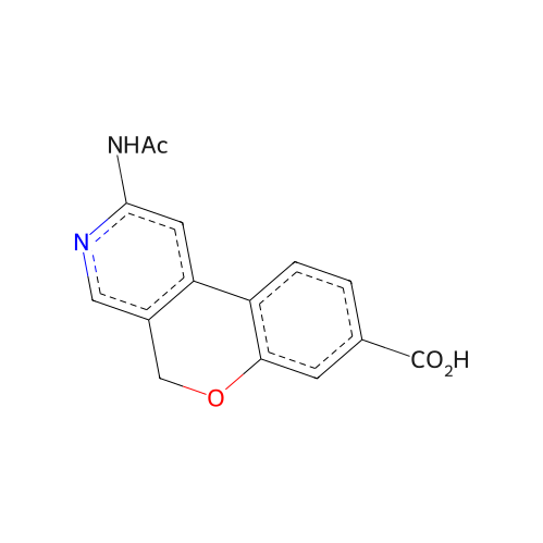 CC(=O)Nc1cc2c(cn1)COc1cc(C(=O)O)ccc1-2